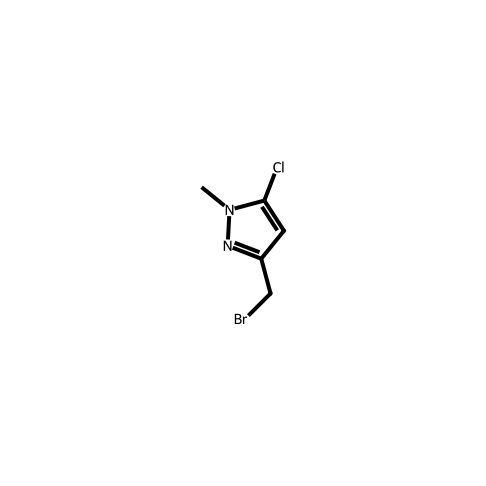 Cn1nc(CBr)cc1Cl